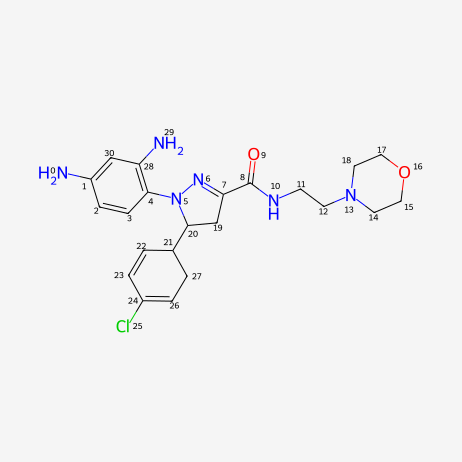 Nc1ccc(N2N=C(C(=O)NCCN3CCOCC3)CC2C2C=CC(Cl)=CC2)c(N)c1